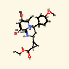 CCOC(=O)C1CC1C1CC(c2ccc(OC)cc2)N2C(=N1)C(Br)=CC(Br)=C2C